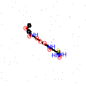 O=C(CCCCC1SCC2NC(=O)NC21)NCCCOCCOCCOCCCNC(=O)c1ccc(C(=O)c2ccccc2)cc1